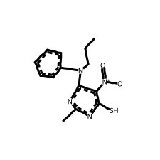 CCCN(c1ccccc1)c1nc(C)nc(S)c1[N+](=O)[O-]